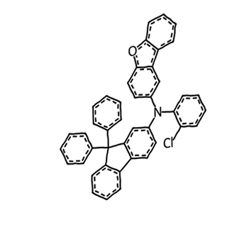 Clc1ccccc1N(c1ccc2c(c1)C(c1ccccc1)(c1ccccc1)c1ccccc1-2)c1ccc2oc3ccccc3c2c1